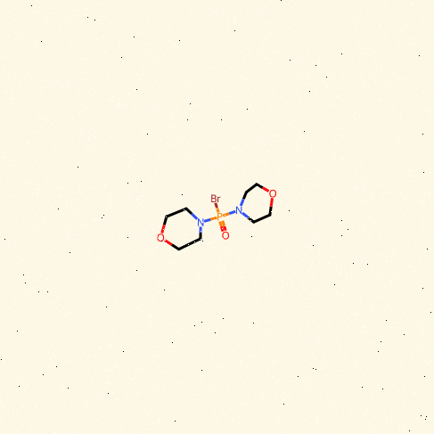 O=P(Br)(N1CCOCC1)N1CCOCC1